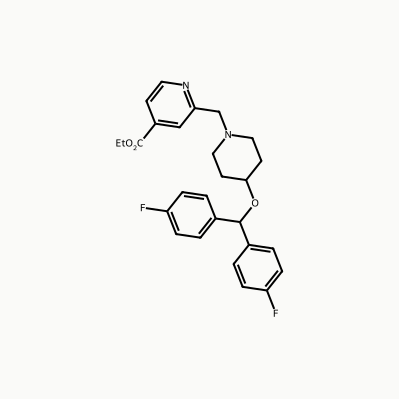 CCOC(=O)c1ccnc(CN2CCC(OC(c3ccc(F)cc3)c3ccc(F)cc3)CC2)c1